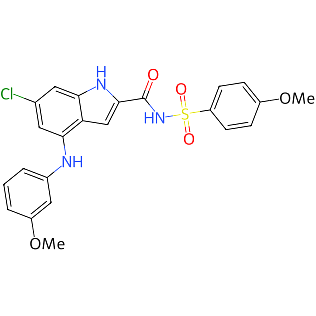 COc1ccc(S(=O)(=O)NC(=O)c2cc3c(Nc4cccc(OC)c4)cc(Cl)cc3[nH]2)cc1